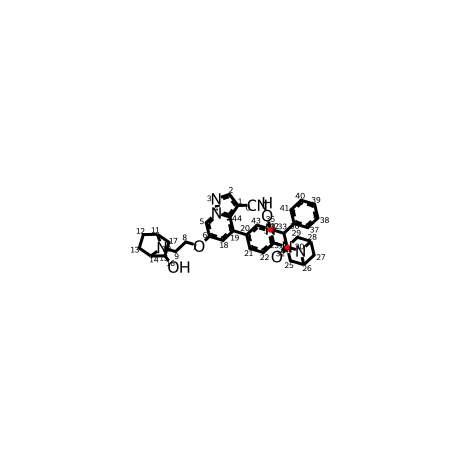 N#Cc1cnn2cc(OCCN3C4CCC3C(O)C4)cc(-c3ccc(N4CC5CC(C4)N5C(=O)C(CO)c4ccccc4)nc3)c12